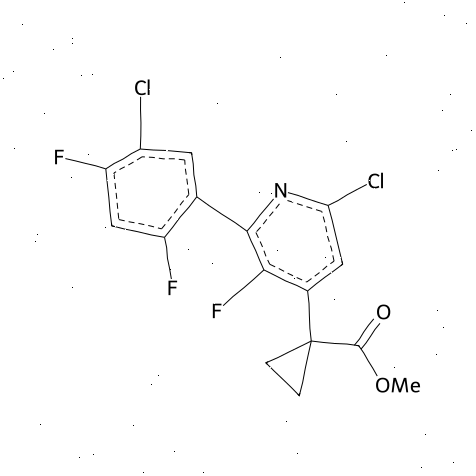 COC(=O)C1(c2cc(Cl)nc(-c3cc(Cl)c(F)cc3F)c2F)CC1